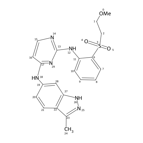 COCCS(=O)(=O)c1ccccc1Nc1nccc(Nc2ccc3c(C)n[nH]c3c2)n1